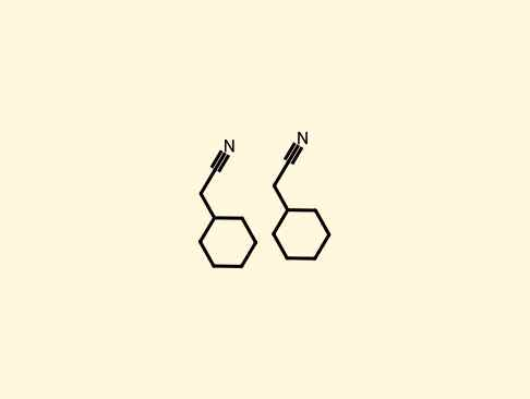 N#CCC1CCCCC1.N#CCC1CCCCC1